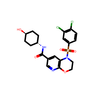 O=C(N[C@H]1CC[C@H](O)CC1)c1cnc2c(c1)N(S(=O)(=O)c1ccc(Cl)c(Cl)c1)CCO2